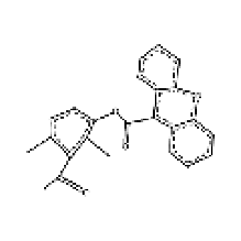 CC(=O)c1c(C)ccc(OC(=O)c2c3ccccc3nc3ccccc23)c1C